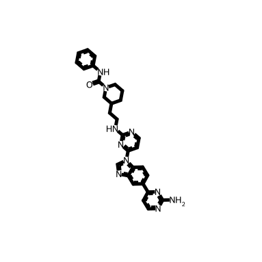 Nc1nccc(-c2ccc3c(c2)ncn3-c2ccnc(NCCC3CCCN(C(=O)Nc4ccccc4)C3)n2)n1